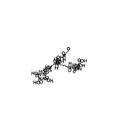 O=C(O)CC[C@H](NC(=O)N[C@@H](CCC(=O)NCCCCCCCC(=O)N[C@@H](CCCCNC(=S)Nc1ccc(CC2CN(CC(=O)O)CCN(CC(=O)O)CCN(CC(=O)O)CCN2CC(=O)O)cc1)C(=O)N[C@@H](CCCCNC(=O)CCCc1ccccc1)C(=O)O)C(=O)O)C(=O)O